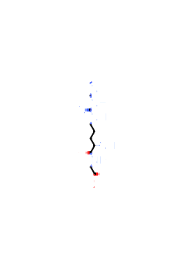 C=NCNC(=N)NCCC[C@@H](N)C(=O)NCC(=O)OC